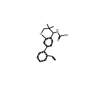 C=Cc1ccccc1-c1ccc2c(c1)OCC(C)(C)C2NC(=O)O